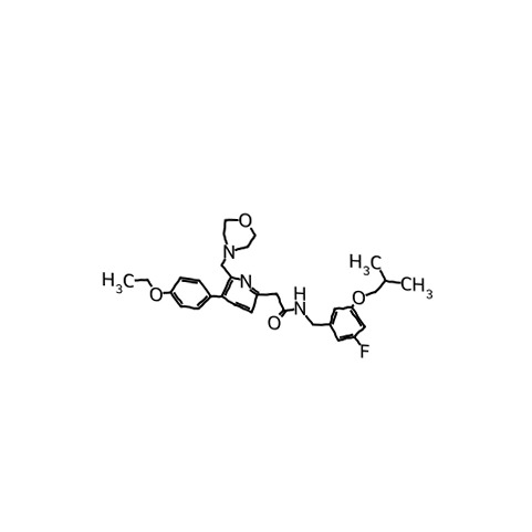 CCOc1ccc(-c2ccc(CC(=O)NCc3cc(F)cc(OCC(C)C)c3)nc2CN2CCOCC2)cc1